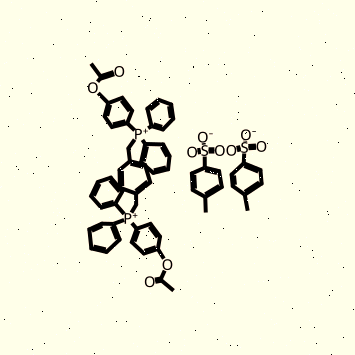 CC(=O)Oc1ccc([P+](Cc2ccc(C[P+](c3ccccc3)(c3ccccc3)c3ccc(OC(C)=O)cc3)cc2)(c2ccccc2)c2ccccc2)cc1.Cc1ccc(S(=O)(=O)[O-])cc1.Cc1ccc(S(=O)(=O)[O-])cc1